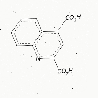 O=C(O)c1cc(C(=O)O)c2ccccc2n1